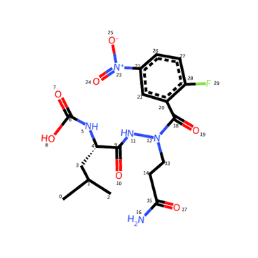 CC(C)C[C@H](NC(=O)O)C(=O)NN(CCC(N)=O)C(=O)c1cc([N+](=O)[O-])ccc1F